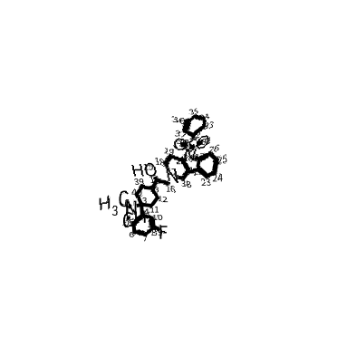 CN(C)C1(c2cccc(F)c2)CCC(C(O)CN2CCc3c(c4ccccc4n3S(=O)(=O)c3ccccc3)C2)CC1